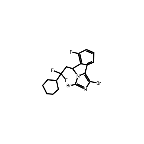 Fc1cccc2c1C(CC(F)(F)C1CCCCC1)n1c(Br)nc(Br)c1-2